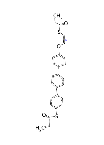 C=CC(=O)S/C=C\Oc1ccc(-c2ccc(-c3ccc(SC(=O)C=C)cc3)cc2)cc1